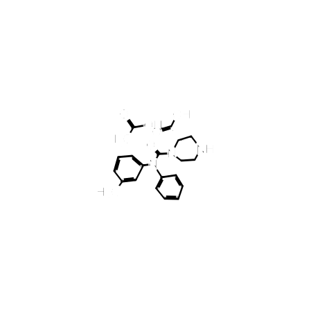 CC(=O)O.Cc1cccc(N(C(=O)N2CCNC[C@H]2C(=O)O)c2ccccc2)c1